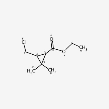 CCOC(=O)C1C(CCl)C1(C)C